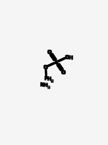 N.O=S(=O)(O)OP